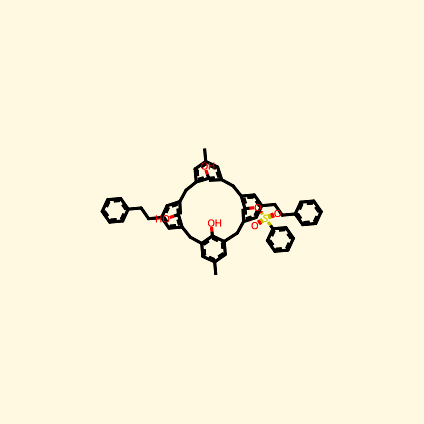 Cc1cc2c(O)c(c1)Cc1cc(CCc3ccccc3)cc(c1OS(=O)(=O)c1ccccc1)Cc1cc(C)cc(c1O)Cc1cc(CCc3ccccc3)cc(c1O)C2